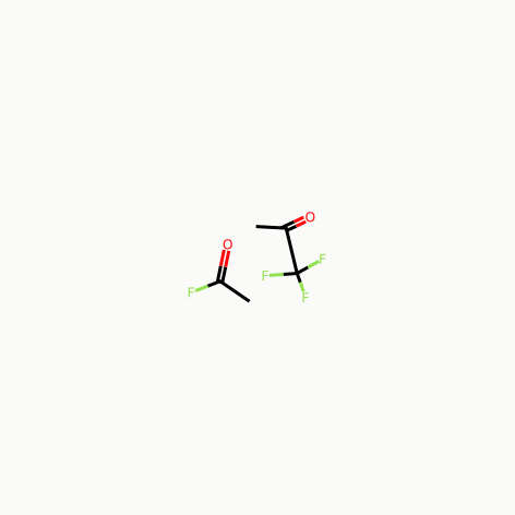 CC(=O)C(F)(F)F.CC(=O)F